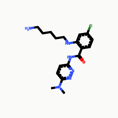 CN(C)c1ccc(NC(=O)c2ccc(Cl)cc2NCCCCCN)nn1